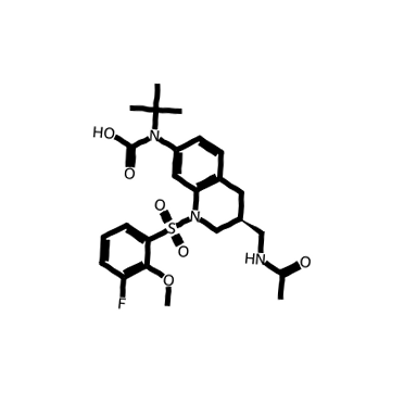 COc1c(F)cccc1S(=O)(=O)N1C[C@H](CNC(C)=O)Cc2ccc(N(C(=O)O)C(C)(C)C)cc21